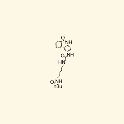 CCCCC(=O)NCCCCCCNCC(=O)Nc1ccc2[nH]c(=O)c3ccccc3c2c1